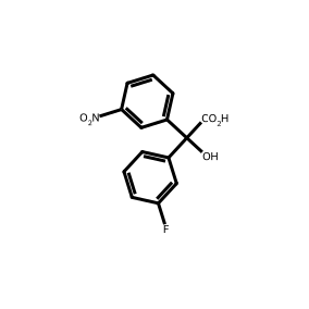 O=C(O)C(O)(c1cccc(F)c1)c1cccc([N+](=O)[O-])c1